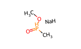 CO[PH](C)=O.[NaH]